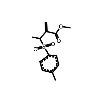 C=C(C(=O)OC)C(C)S(=O)(=O)c1ccc(C)cc1